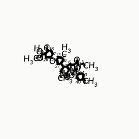 CCNC(=O)c1cc2c(-c3cc(C)cc(Oc4ccc(C)c(C(=O)OC)c4)c3)cn(C)c(=O)c2n1S(=O)(=O)c1ccc(C)cc1